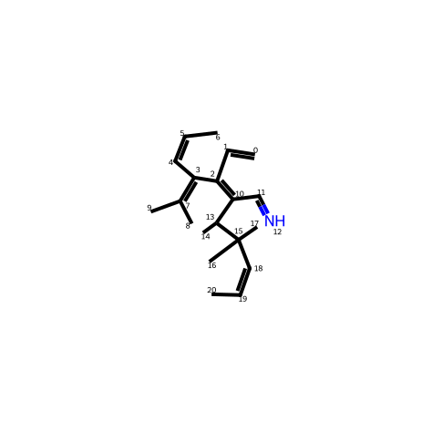 C=C/C(C(/C=C\C)=C(C)C)=C(\C=N)C(C)C(C)(C)/C=C\C